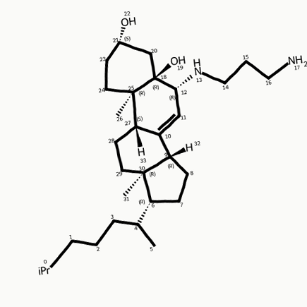 CC(C)CCCC(C)[C@H]1CC[C@H]2C3=C[C@@H](NCCCN)[C@@]4(O)C[C@@H](O)CC[C@]4(C)[C@H]3CC[C@]12C